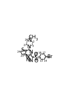 CN1CCN(c2nc3c(S(=O)(=O)c4ccc(Br)cc4)nnn3c3ccsc23)CC1